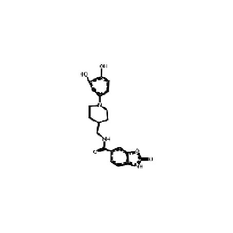 O=C(NCC1CCN(c2ccc(O)c(O)c2)CC1)c1ccc2[nH]c(=O)oc2c1